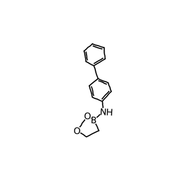 c1ccc(-c2ccc(NB3CCOO3)cc2)cc1